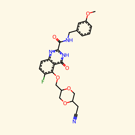 COc1cccc(CNC(=O)c2nc3ccc(F)c(OCC4COC(CC#N)CO4)c3c(=O)[nH]2)c1